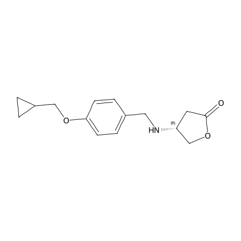 O=C1C[C@@H](NCc2ccc(OCC3CC3)cc2)CO1